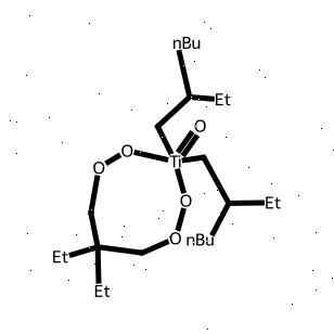 CCCCC(CC)[CH2][Ti]1(=[O])([CH2]C(CC)CCCC)[O]OCC(CC)(CC)CO[O]1